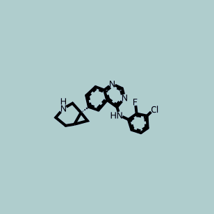 Fc1c(Cl)cccc1Nc1ncnc2ccc([C@@]34CNCCC3C4)cc12